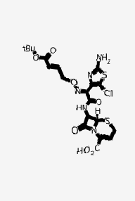 CC(C)(C)OC(=O)C=CCON=C(C(=O)NC1C(=O)N2C(C(=O)O)=CCS[C@@H]12)c1nc(N)sc1Cl